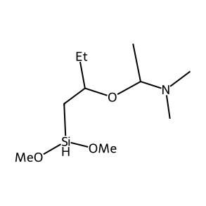 CCC(C[SiH](OC)OC)OC(C)N(C)C